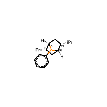 CC(C)[C@H]1C[C@@H]2[C@@H](C(C)C)C[C@H]1P2c1ccccc1